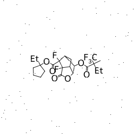 CCC1(OC(=O)C2(F)C3CC4C(OC(=O)C42F)C3OC(=O)C(C)(CC)C(F)(F)F)CCCC1